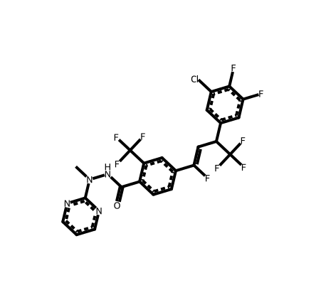 CN(NC(=O)c1ccc(/C(F)=C/C(c2cc(F)c(F)c(Cl)c2)C(F)(F)F)cc1C(F)(F)F)c1ncccn1